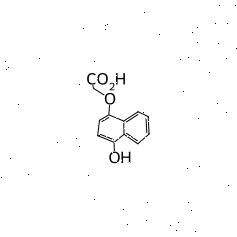 O=C(O)COc1ccc(O)c2ccccc12